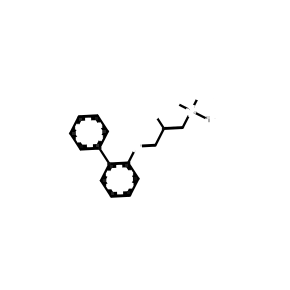 CC(C)[N+](C)(C)CC(O)COc1ccccc1-c1ccccc1.[Cl-]